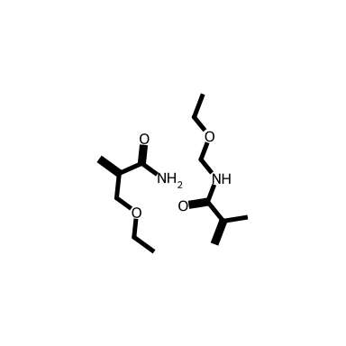 C=C(C)C(=O)NCOCC.C=C(COCC)C(N)=O